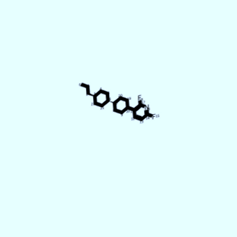 CCC[C@H]1CC[C@H](C2CCC(c3ccc(F)nc3F)CC2)CC1